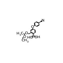 CCOC(C)OCc1cc(Oc2ccc(C#N)cc2)ccc1B(O)O